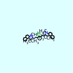 CN1/C(=C\C=C2/CCCC(/C=C/C3(C)N(C)c4ccc5ccccc5c4C3(C)C)=C2Cl)C(C)(C)c2c1ccc1ccccc21